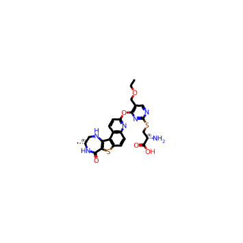 CCOCc1cnc(SC[C@H](N)C(=O)O)nc1Oc1ccc2c(ccc3sc4c(c32)NC[C@@H](C)NC4=O)n1